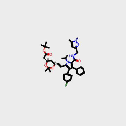 Cc1cc(CNC(=O)c2c(-c3ccccc3)c(-c3ccc(F)cc3)c(C=C[C@@H]3C[C@H](CC(=O)OC(C)(C)C)OC(C)(C)O3)n2C(C)C)nn1C